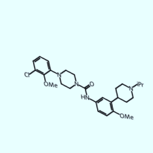 COc1ccc(NC(=O)N2CCN(c3cccc(Cl)c3OC)CC2)cc1C1CCN(C(C)C)CC1